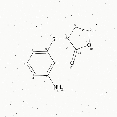 Nc1cccc(SC2CCOC2=O)c1